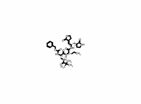 CCC[C@H](NC(=O)[C@H](CNC(=O)C(C)(C)C)NC(=O)OCc1ccccc1)C(=O)N[C@H](/C=C1\CCOC1=O)C[C@@H]1CCNC1=O